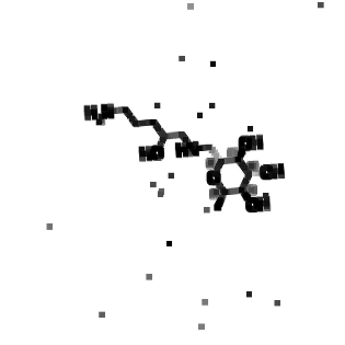 C[C@H]1O[C@H](CNCC(O)CCCN)[C@@H](O)[C@H](O)[C@H]1O